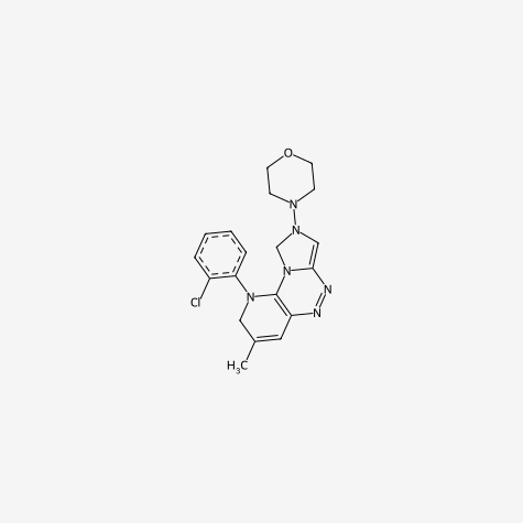 CC1=CC2=C(N3CN(N4CCOCC4)C=C3N=N2)N(c2ccccc2Cl)C1